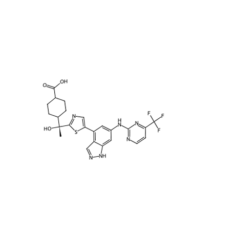 C[C@](O)(c1ncc(-c2cc(Nc3nccc(C(F)(F)F)n3)cc3[nH]ncc23)s1)C1CCC(C(=O)O)CC1